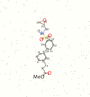 COC(=O)CCc1cccc(-c2cccc(S(=O)(=O)N(C)CC3CO3)c2)c1